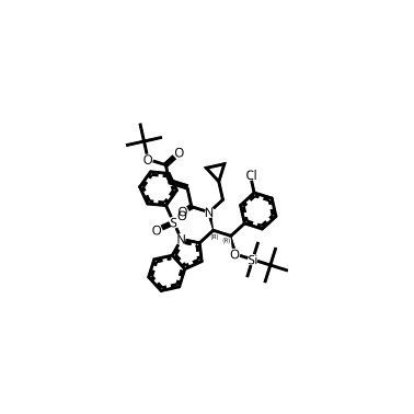 CC(C)(C)OC(=O)C=CC(=O)N(CC1CC1)[C@H](c1cc2ccccc2n1S(=O)(=O)c1ccccc1)[C@H](O[Si](C)(C)C(C)(C)C)c1cccc(Cl)c1